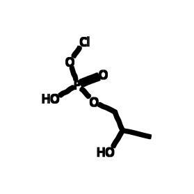 CC(O)COP(=O)(O)OCl